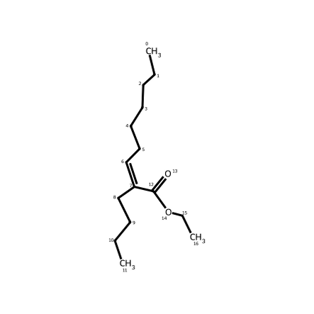 CCCCCCC=C(CCCC)C(=O)OCC